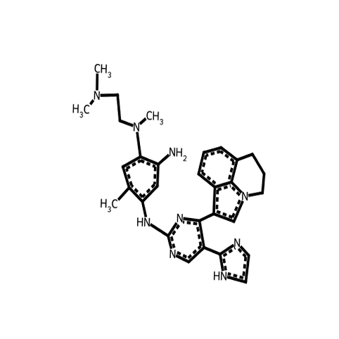 Cc1cc(N(C)CCN(C)C)c(N)cc1Nc1ncc(-c2ncc[nH]2)c(-c2cn3c4c(cccc24)CCC3)n1